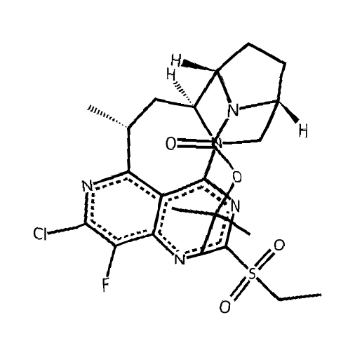 CCS(=O)(=O)c1nc2c3c(nc(Cl)c(F)c3n1)[C@H](C)C[C@H]1[C@@H]3CC[C@H](CN21)N3C(=O)OC(C)(C)C